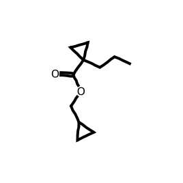 CCCC1(C(=O)OCC2CC2)CC1